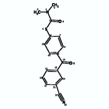 CN(C)C(=O)Sc1ccc(C(=O)c2cccc(C#N)c2)cc1